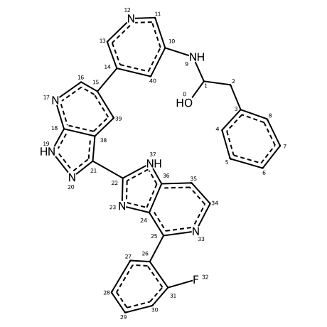 OC(Cc1ccccc1)Nc1cncc(-c2cnc3[nH]nc(-c4nc5c(-c6ccccc6F)nccc5[nH]4)c3c2)c1